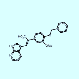 COc1cc(/C(=C/c2c[nH]c3ncccc23)C(=O)O)ccc1OCc1ccccc1